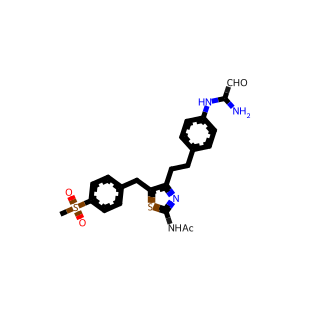 CC(=O)Nc1nc(CCc2ccc(NC(N)C=O)cc2)c(Cc2ccc(S(C)(=O)=O)cc2)s1